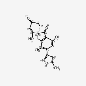 Cc1nc(-c2cc(O)c3c(c2Cl)O[C@]2(CCC(=O)C=C2O)C3=O)no1